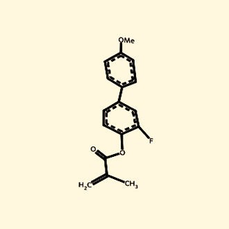 C=C(C)C(=O)Oc1ccc(-c2ccc(OC)cc2)cc1F